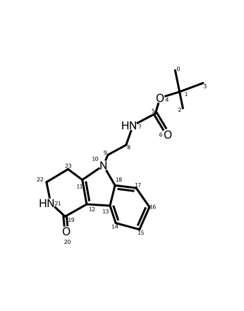 CC(C)(C)OC(=O)NCCn1c2c(c3ccccc31)C(=O)NCC2